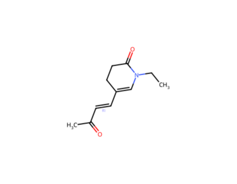 CCN1C=C(/C=C/C(C)=O)CCC1=O